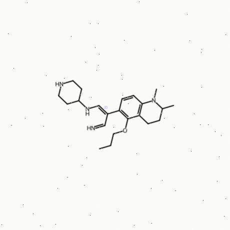 CCCOc1c(/C(C=N)=C/NC2CCNCC2)ccc2c1CCC(C)N2C